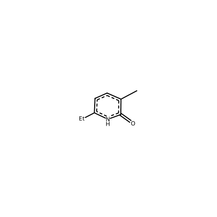 CCc1ccc(C)c(=O)[nH]1